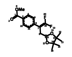 COC(=O)c1ccc(C(CB2OC(C)(C)C(C)(C)O2)=C(F)F)cc1